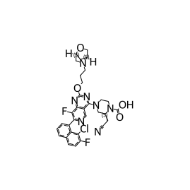 N#CC[C@H]1CN(c2nc(OCCCN3C[C@@H]4C[C@H]3CO4)nc3c(F)c(-c4cccc5ccc(F)c(Cl)c45)ncc23)CCN1C(=O)O